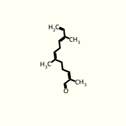 C=CC(C)=CCC=C(C)CCC=C(C)C=O